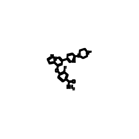 CN1CCN(c2ccc(-c3cc(Oc4ccc(C(N)=O)cc4F)c4ccnn4c3)cn2)CC1